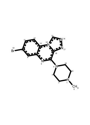 CN1CCN(c2nc3cc(Br)ccc3n3cnnc23)CC1